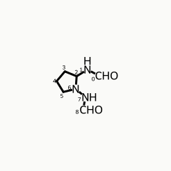 O=CNC1CCCN1NC=O